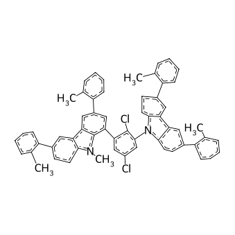 Cc1ccccc1-c1ccc2c(c1)c1cc(-c3ccccc3C)cc(-c3cc(Cl)cc(-n4c5ccc(-c6ccccc6C)cc5c5cc(-c6ccccc6C)ccc54)c3Cl)c1n2C